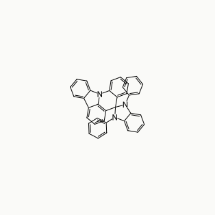 c1ccc(N2c3ccccc3N(c3ccccc3)C23c2ccccc2-n2c4ccccc4c4cccc3c42)cc1